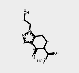 O=C(O)C(=O)C1CCc2c(cnn2CCO)C1=O